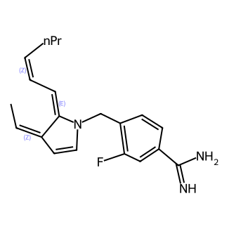 C/C=c1/ccn(Cc2ccc(C(=N)N)cc2F)/c1=C/C=C\CCC